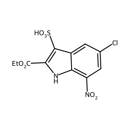 CCOC(=O)c1[nH]c2c([N+](=O)[O-])cc(Cl)cc2c1S(=O)(=O)O